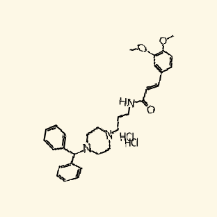 COc1ccc(C=CC(=O)NCCCN2CCN(C(c3ccccc3)c3ccccc3)CC2)cc1OC.Cl.Cl